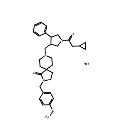 Cl.O=C(CC1CC1)N1CC(CN2CCC3(CC2)CCN(Cc2ccc(OC(F)(F)F)cc2)C3=O)C(c2ccccc2)C1